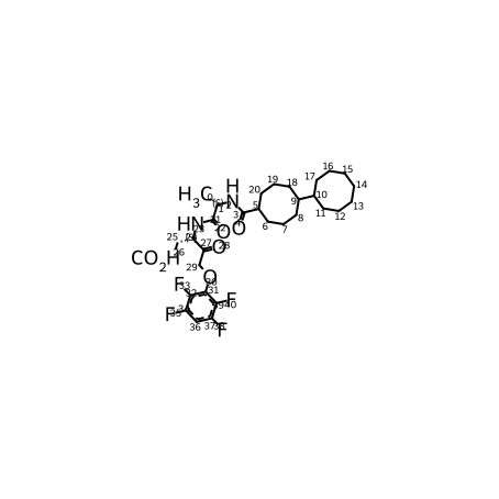 C[C@H](NC(=O)C1CCCC(C2CCCCCCC2)CCC1)C(=O)N[C@@H](CC(=O)O)C(=O)COc1c(F)c(F)cc(F)c1F